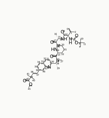 C=C(C)[C@H](NC(=O)OC(C)(C)C)C(=O)N[C@@H](C)C(=O)N1CCC[C@@H](C(=O)N(C)[C@H](C)c2ccc3ccc(/C=C/C(C)(C)C(=O)OC)cc3n2)N1